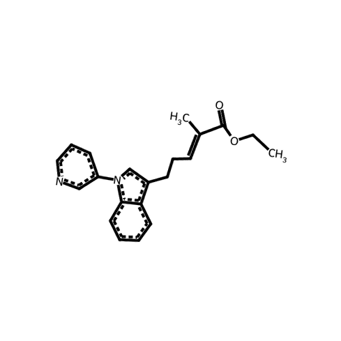 CCOC(=O)/C(C)=C/CCc1cn(-c2cccnc2)c2ccccc12